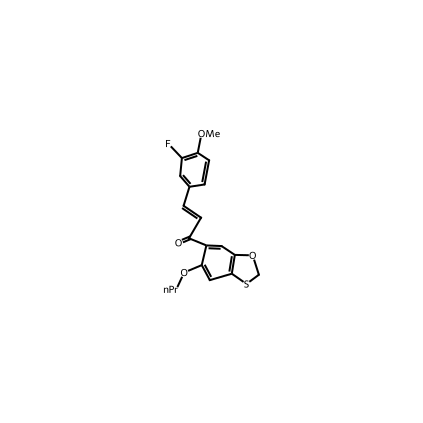 CCCOc1cc2c(cc1C(=O)/C=C/c1ccc(OC)c(F)c1)OCS2